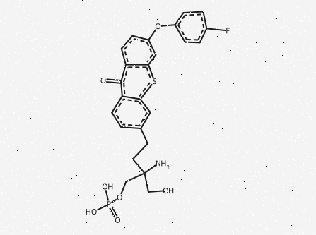 NC(CO)(CCc1ccc2c(=O)c3ccc(Oc4ccc(F)cc4)cc3sc2c1)COP(=O)(O)O